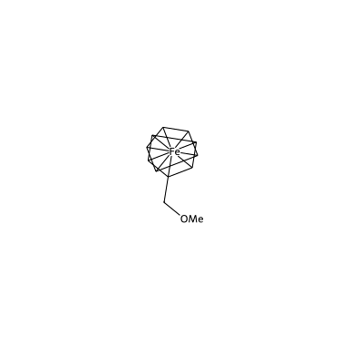 COC[C]12[CH]3[CH]4[CH]5[CH]1[Fe]45321678[CH]2[CH]1[CH]6[CH]7[CH]28